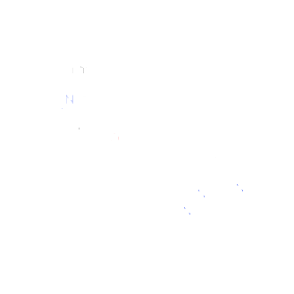 CC(C)C[C@](C)(N)COc1cc(F)c(-c2ccnc3ccnn23)cc1F